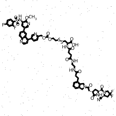 COc1ncc(-c2ccc3nccc(-c4ccc(COC(=O)OCCSSCC(NC(=O)CCC(=O)NCCNC(=O)CCc5cccc6c5CN(C(=O)C[C@@H]5C[C@@H](C(=O)N7CC(F)(F)C[C@H]7C#N)NC5=O)C6)C(=O)O)nc4)c3c2)cc1NS(=O)(=O)c1ccc(F)cc1F